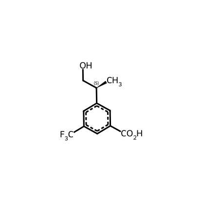 C[C@H](CO)c1cc(C(=O)O)cc(C(F)(F)F)c1